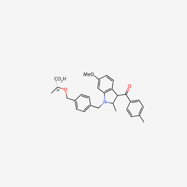 COc1ccc2c(c1)N(Cc1ccc(CO[C@H](C)C(=O)O)cc1)C(C)C2C(=O)c1ccc(C)cc1